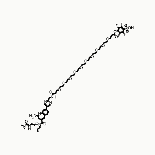 CCCN(OCCNC(=O)N(C)C)C(=O)C1=Cc2ccc(-c3cnc(CNC(=O)CCOCCOCCOCCOCCOCCOCCOCCOCCOCCOCCC(=O)Oc4c(F)c(F)c(S(=O)(=O)O)c(F)c4F)nc3)cc2N=C(N)C1